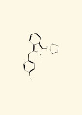 Brc1ccc(Cc2[nH]c(N3CCCC3)c3ccccc23)cc1